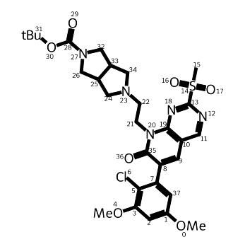 COc1cc(OC)c(Cl)c(-c2cc3cnc(S(C)(=O)=O)nc3n(CCN3CC4CN(C(=O)OC(C)(C)C)CC4C3)c2=O)c1